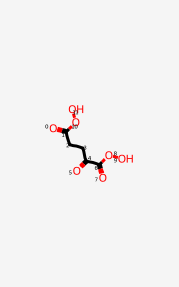 O=C(CCC(=O)C(=O)OO)OO